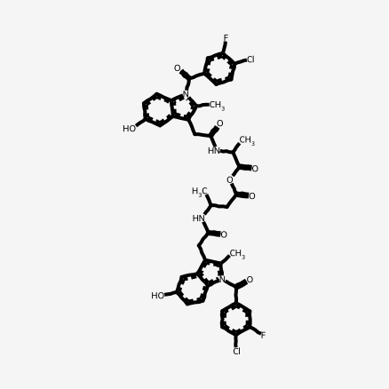 Cc1c(CC(=O)NC(C)CC(=O)OC(=O)C(C)NC(=O)Cc2c(C)n(C(=O)c3ccc(Cl)c(F)c3)c3ccc(O)cc23)c2cc(O)ccc2n1C(=O)c1ccc(Cl)c(F)c1